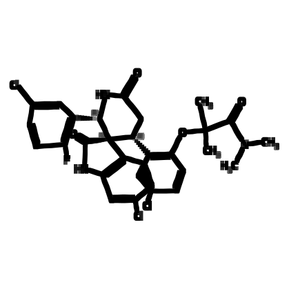 CN(C)C(=O)C(C)(C)Oc1ccc(Cl)cc1[C@H]1CC(=O)N[C@@H](c2cc(Cl)ccc2F)[C@]12C(=O)Nc1cc(Cl)ccc12